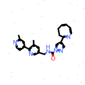 Cc1cc(-c2ncc(CNC(=O)n3cc(/C4=N/C=C\C=C/CC4)cn3)cc2C)ccn1